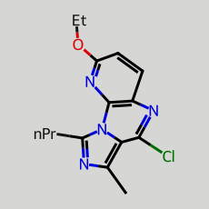 CCCc1nc(C)c2c(Cl)nc3ccc(OCC)nc3n12